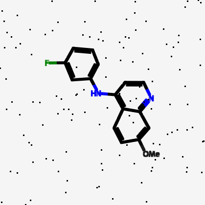 COc1ccc2c(Nc3cccc(F)c3)ccnc2c1